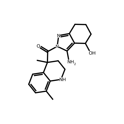 Cc1cccc2c1NCCC2(C)C(=O)n1nc2c(c1N)C(O)CCC2